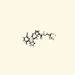 CN(C)CCNC(=O)c1cnn2ccc(N3CCCC3c3cc(F)ccc3F)cc12